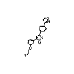 FCCOc1cccc(-c2cc(-c3ccc(-c4ccon4)cc3)n[nH]2)c1